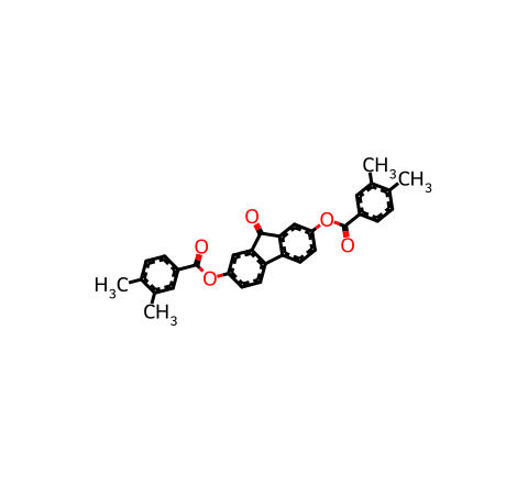 Cc1ccc(C(=O)Oc2ccc3c(c2)C(=O)c2cc(OC(=O)c4ccc(C)c(C)c4)ccc2-3)cc1C